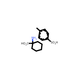 Cc1ccc(S(=O)(=O)O)cc1.NC1(C(=O)O)CCCCC1